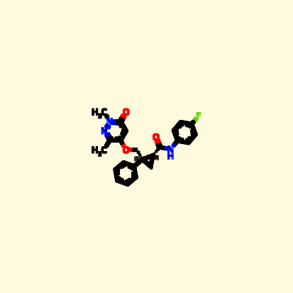 Cc1nn(C)c(=O)cc1OC[C@@]1(c2ccccc2)C[C@H]1C(=O)Nc1ccc(F)cc1